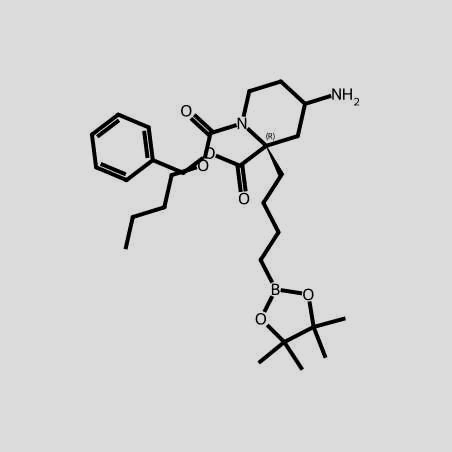 CCCCOC(=O)N1CCC(N)C[C@]1(CCCCB1OC(C)(C)C(C)(C)O1)C(=O)OCc1ccccc1